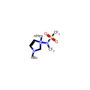 CCCCCC[N+]1(N(C(F)(F)F)S(=O)(=O)C(F)(F)F)C=CN(CCCC)C1